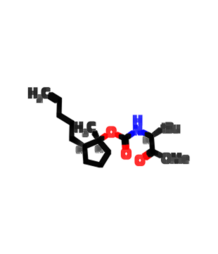 C=CCCC[C@@H]1CCC[C@@]1(C)OC(=O)N[C@H](C(=O)OC)C(C)(C)C